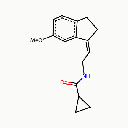 COc1ccc2c(c1)/C(=C\CNC(=O)C1CC1)CC2